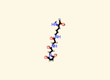 CNC(CCCCNC(=O)CCNC(=O)CCN1C(=O)C=CC1=O)C(C)=O